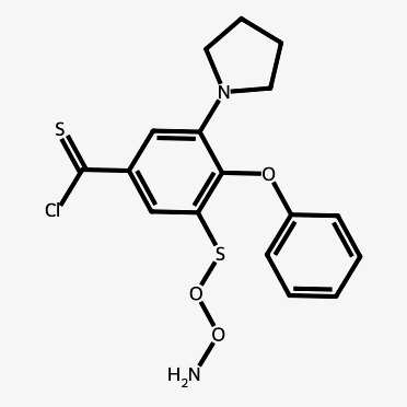 NOOSc1cc(C(=S)Cl)cc(N2CCCC2)c1Oc1ccccc1